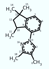 Cc1cn(-c2cccc3c2C(C)CC3(C)C)nc1C